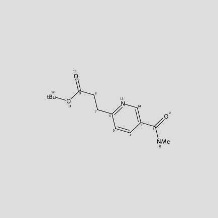 CNC(=O)c1ccc(CCC(=O)OC(C)(C)C)nc1